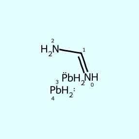 N=CN.[PbH2].[PbH2]